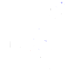 C[C@@H](CC(=O)O)n1c(=O)[nH]/c(=N\c2ccc3c(c2)C(=O)N(N)C3=O)n(Cc2ccc(Cl)cc2)c1=O